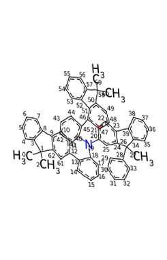 CC1(C)c2ccccc2-c2ccc(-c3ccccc3N(c3ccc4c(c3)C(C)(c3ccccc3)c3ccccc3-4)c3ccccc3-c3cccc4c3-c3ccccc3C4(C)C)cc21